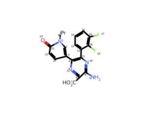 CC(C)n1cc(-c2nc(C(=O)O)c(N)nc2-c2cccc(F)c2F)ccc1=O